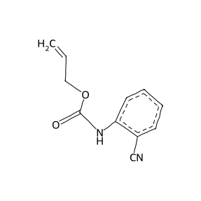 C=CCOC(=O)Nc1ccccc1C#N